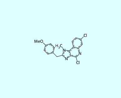 COc1ccc(Cc2nc3c(Cl)nc4cc(Cl)ccc4c3n2C)cc1